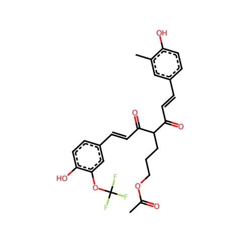 CC(=O)OCCCC(C(=O)/C=C/c1ccc(O)c(C)c1)C(=O)/C=C/c1ccc(O)c(OC(F)(F)F)c1